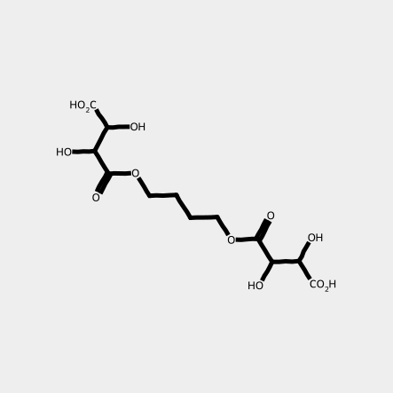 O=C(O)C(O)C(O)C(=O)OCCCCOC(=O)C(O)C(O)C(=O)O